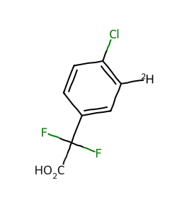 [2H]c1cc(C(F)(F)C(=O)O)ccc1Cl